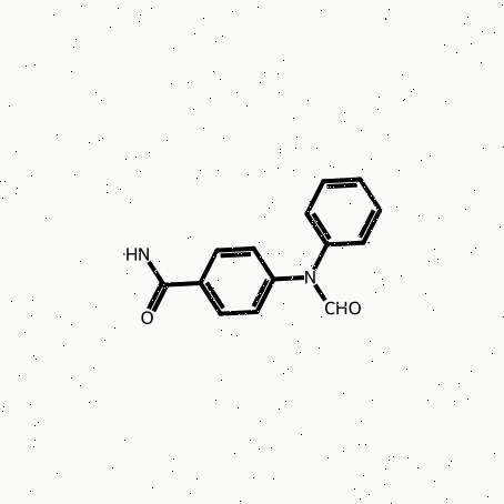 [NH]C(=O)c1ccc(N(C=O)c2[c]cccc2)cc1